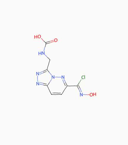 O=C(O)NCc1nnc2ccc(C(Cl)=NO)nn12